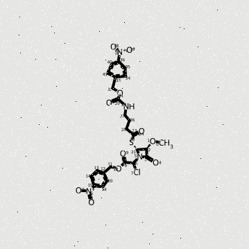 CO[C@H]1C(=O)N(C(Cl)C(=O)OCc2ccc([N+](=O)[O-])cc2)[C@@H]1SC(=O)CCCNC(=O)OCc1ccc([N+](=O)[O-])cc1